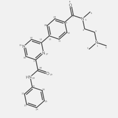 CN(C)CCN(C)C(=O)c1ccc(-c2cncc(C(=O)Nc3ccccc3)n2)cc1